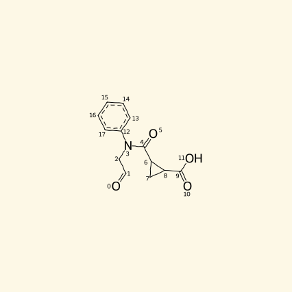 O=CCN(C(=O)C1CC1C(=O)O)c1ccccc1